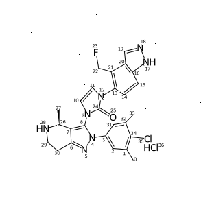 Cc1cc(-n2nc3c(c2-n2ccn(-c4ccc5[nH]ncc5c4CF)c2=O)[C@H](C)NCC3)cc(C)c1Cl.Cl